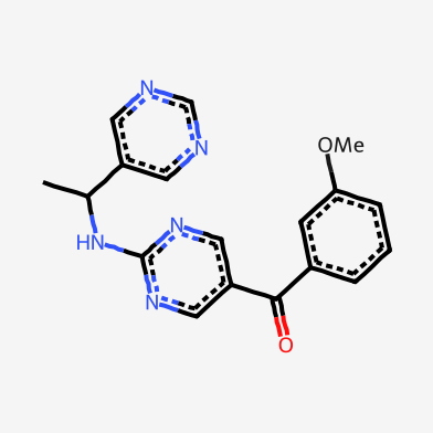 COc1cccc(C(=O)c2cnc(NC(C)c3cncnc3)nc2)c1